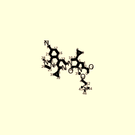 CC(=O)c1cc2c(C3CC3)cn(-c3cc(-c4ccc(C#N)cc4-c4nccn4C)cc(C4CC4)n3)c(=O)c2n1COCC[Si](C)(C)C